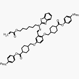 C=CC(=O)OCCCCCCN(/N=C/c1cc(OCC2CCC(C(=O)Oc3ccc(CCCCC)cc3)CC2)ccc1OCC1CCC(C(=O)Oc2ccc(CCCCC)cc2)CC1)c1nc2ccccc2s1